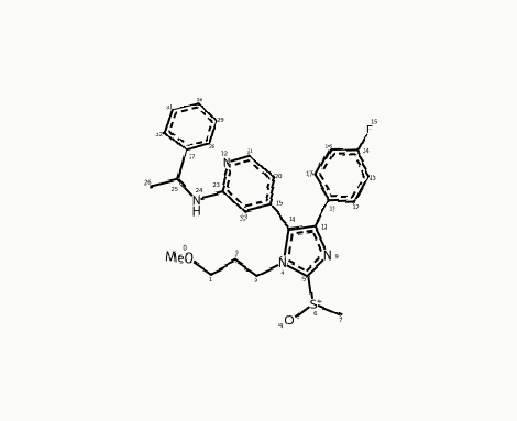 COCCCn1c([S+](C)[O-])nc(-c2ccc(F)cc2)c1-c1ccnc(NC(C)c2ccccc2)c1